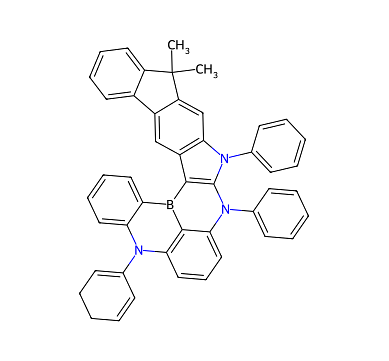 CC1(C)c2ccccc2-c2cc3c4c(n(-c5ccccc5)c3cc21)N(c1ccccc1)c1cccc2c1B4c1ccccc1N2C1=CCCC=C1